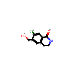 O=C1NCCc2cc(CO)c(Cl)cc21